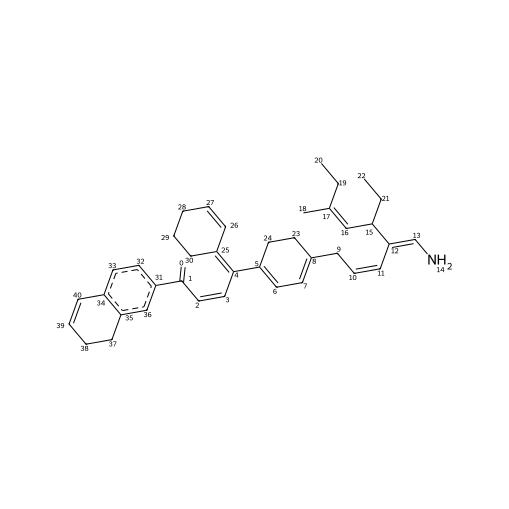 C=C(/C=C\C(C1=CC=C(C/C=C\C(=C/N)C(/C=C(/C)CC)CC)CC1)=C1\C=CCCC1)c1ccc2c(c1)CCC=C2